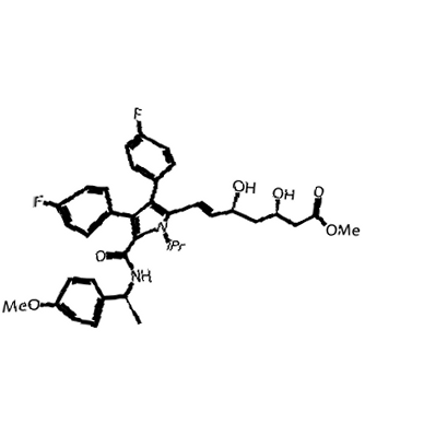 COC(=O)C[C@H](O)C[C@H](O)C=Cc1c(-c2ccc(F)cc2)c(-c2ccc(F)cc2)c(C(=O)N[C@@H](C)c2ccc(OC)cc2)n1C(C)C